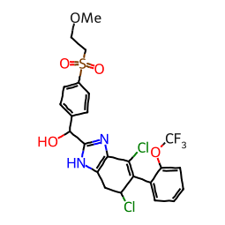 COCCS(=O)(=O)c1ccc(C(O)c2nc3c([nH]2)CC(Cl)C(c2ccccc2OC(F)(F)F)=C3Cl)cc1